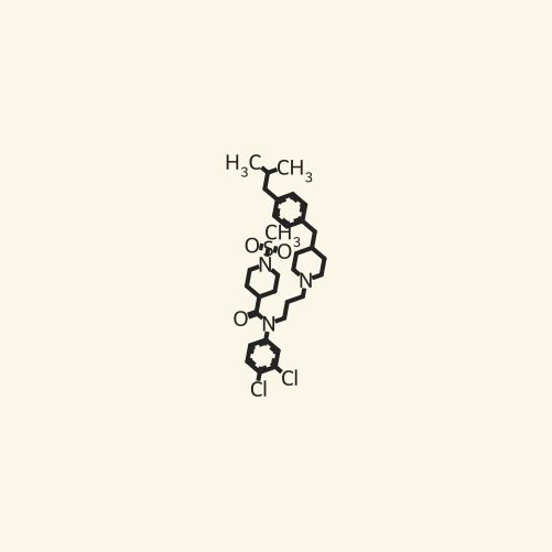 CC(C)Cc1ccc(CC2CCN(CCCN(C(=O)C3CCN(S(C)(=O)=O)CC3)c3ccc(Cl)c(Cl)c3)CC2)cc1